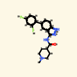 CN1CCC(C(=O)Nc2n[nH]c3ccc(-c4ccc(F)cc4F)cc23)CC1